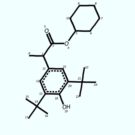 CC(C(=O)OC1CCCCC1)c1cc(C(C)(C)C)c(O)c(C(C)(C)C)c1